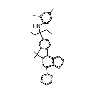 CCC(CC)(Nc1ccc(C)cc1C)c1ccc2c(c1)C(C)(C)c1cc(-c3ccccc3)c3ccccc3c1-2